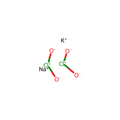 [K+].[Na+].[O-][Cl+][O-].[O-][Cl+][O-]